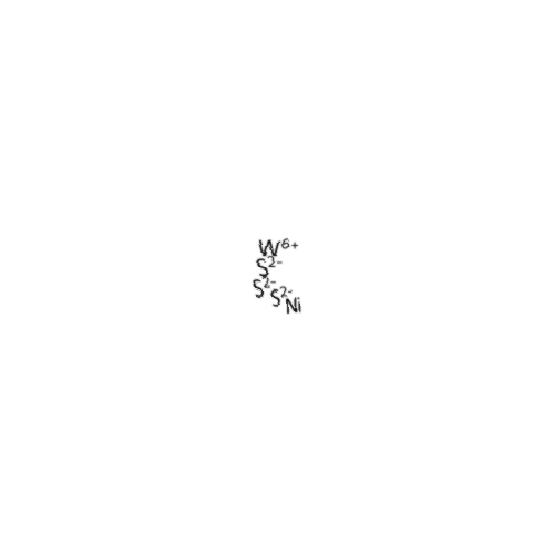 [Ni].[S-2].[S-2].[S-2].[W+6]